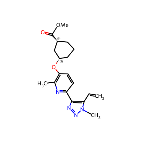 C=Cc1c(-c2ccc(O[C@H]3CCC[C@H](C(=O)OC)C3)c(C)n2)nnn1C